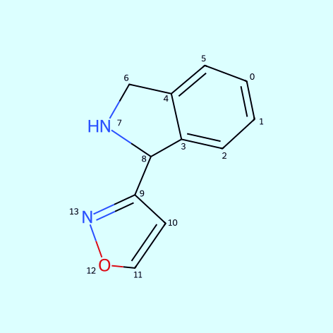 c1ccc2c(c1)CNC2c1ccon1